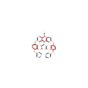 N#Cc1ccc(-c2c(N3c4ccccc4Cc4ccccc43)c(N3c4ccccc4Cc4ccccc43)nc(N3c4ccccc4Cc4ccccc43)c2N2c3ccccc3Cc3ccccc32)cc1